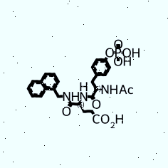 CC(=O)N[C@@H](Cc1ccc(OP(=O)(O)O)cc1)C(=O)N[C@@H](CCC(=O)O)C(=O)NCc1cccc2ccccc12